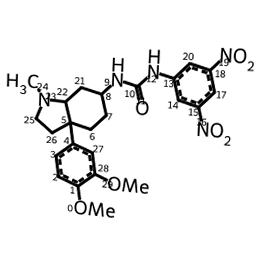 COc1ccc(C23CCC(NC(=O)Nc4cc([N+](=O)[O-])cc([N+](=O)[O-])c4)CC2N(C)CC3)cc1OC